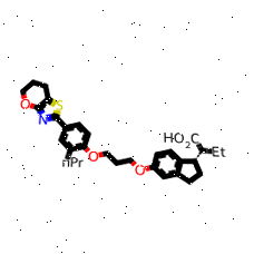 CCCc1cc(-c2nc3c(s2)CCCO3)ccc1OCCCOc1ccc2c(c1)CC[C@H]2C(CC)C(=O)O